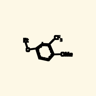 CCOc1[c]c(C(F)(F)F)c(OC)cc1